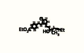 CCC#CC[C@H](C)[C@H](O)C=CC1CCC(=O)N1CCc1ccc(C(=O)OCC)cc1